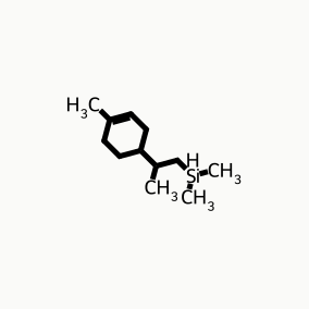 CC1=CCC(C(C)C[SiH](C)C)CC1